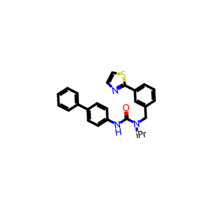 CC(C)N(Cc1cccc(-c2nccs2)c1)C(=O)Nc1ccc(-c2ccccc2)cc1